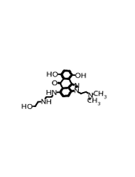 CN(C)CCn1nc2c3c(c(NCCNCCO)ccc31)C(=O)c1c(O)ccc(O)c1-2